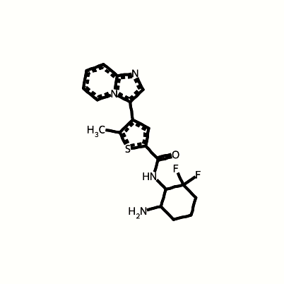 Cc1sc(C(=O)NC2C(N)CCCC2(F)F)cc1-c1cnc2ccccn12